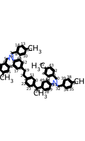 Cc1ccc(CN(Cc2ccc(C)cc2)c2ccc(CCc3ccc(C(C)c4ccc(N(Cc5ccc(C)cc5)Cc5ccc(C)cc5)cc4)cc3)cc2)cc1